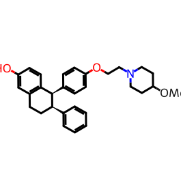 COC1CCN(CCOc2ccc([C@@H]3c4ccc(O)cc4CC[C@@H]3c3ccccc3)cc2)CC1